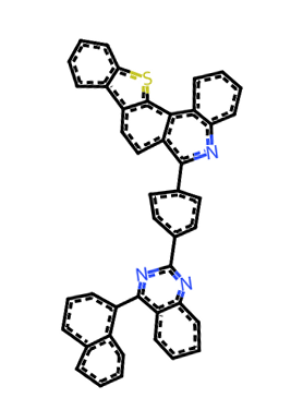 c1ccc2c(-c3nc(-c4ccc(-c5nc6ccccc6c6c5ccc5c7ccccc7sc56)cc4)nc4ccccc34)cccc2c1